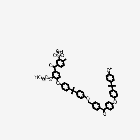 COc1ccc(C(C)(C)c2ccc(Oc3ccc(C(=O)c4ccc(COc5ccc(C(C)(C)c6ccc(Oc7ccc(C(=O)c8ccc(C)c(S(=O)(=O)O)c8)cc7SOOO)cc6)cc5)cc4)cc3)cc2)cc1